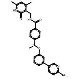 Cc1cc(C)c(CNC(=O)c2ccc([C@H](C)Oc3cccc(-c4ccc(N)nc4)c3)cc2)c(=O)[nH]1